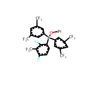 CC(C)O[B-](c1cc(C(F)(F)F)cc(C(F)(F)F)c1)(c1cc(C(F)(F)F)cc(C(F)(F)F)c1)c1ccc(F)c(C(F)(F)F)c1F